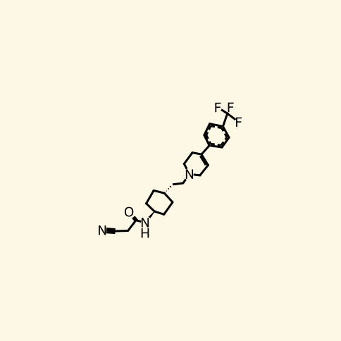 N#CCC(=O)N[C@H]1CC[C@H](CCN2CC=C(c3ccc(C(F)(F)F)cc3)CC2)CC1